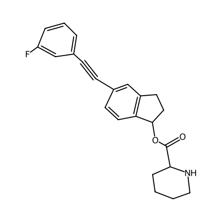 O=C(OC1CCc2cc(C#Cc3cccc(F)c3)ccc21)C1CCCCN1